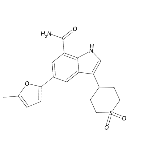 Cc1ccc(-c2cc(C(N)=O)c3[nH]cc(C4CCS(=O)(=O)CC4)c3c2)o1